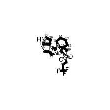 O=S(=O)(CCC(F)(F)F)N1CC2(CCCCN2c2ncc3cnc4[nH]ccc4n23)C1